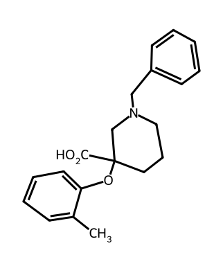 Cc1ccccc1OC1(C(=O)O)CCCN(Cc2ccccc2)C1